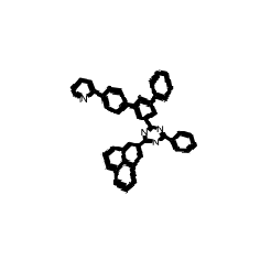 C1=CC2=CC=CC3=CC(c4nc(-c5ccccc5)nc(-c5cc(-c6ccccc6)cc(-c6ccc(-c7ccccn7)cc6)c5)n4)=CC(=C1)C23